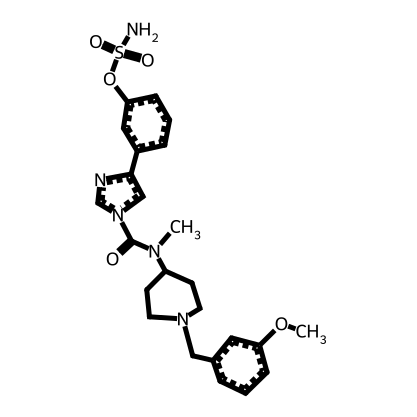 COc1cccc(CN2CCC(N(C)C(=O)n3cnc(-c4cccc(OS(N)(=O)=O)c4)c3)CC2)c1